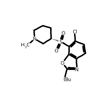 CN1CCC[C@H](S(=O)(=O)c2c(Cl)ccc3nc(C(C)(C)C)oc23)C1